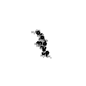 CC(C)c1ccccc1[C@H]1CCCN1C1CC2(CCN(c3ccc(C(=O)NSc4cc(N=O)c5c(c4)OCC([C@H]4CC[C@](C)(O)CC4)N5)c(Oc4cc5cc[nH]c5nc4OC[C@H](C)O)c3)CC2)C1